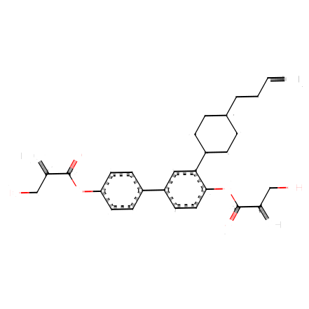 C=CCCC1CCC(c2cc(-c3ccc(OC(=O)C(=C)CO)cc3)ccc2OC(=O)C(=C)CO)CC1